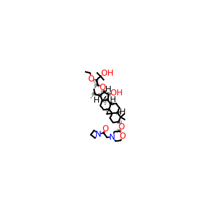 CCO[C@@H]([C@H]1C[C@@H](C)[C@H]2[C@H](O1)[C@H](O)[C@@]1(C)[C@@H]3CC[C@H]4C(C)(C)[C@@H](O[C@H]5CN(CC(=O)N6CCC6)CCO5)CCC45C[C@@]35CC[C@]21C)C(C)(C)O